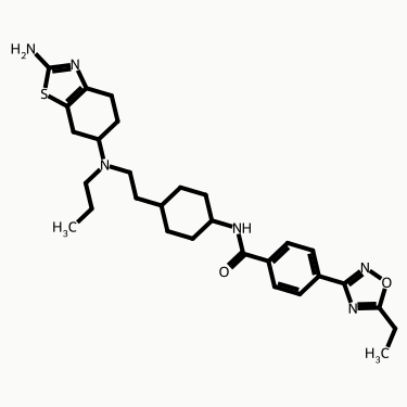 CCCN(CCC1CCC(NC(=O)c2ccc(-c3noc(CC)n3)cc2)CC1)C1CCc2nc(N)sc2C1